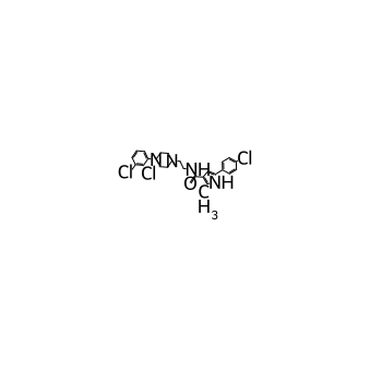 Cc1[nH]c(-c2ccc(Cl)cc2)cc1C(=O)NCCN1CCN(c2cccc(Cl)c2Cl)CC1